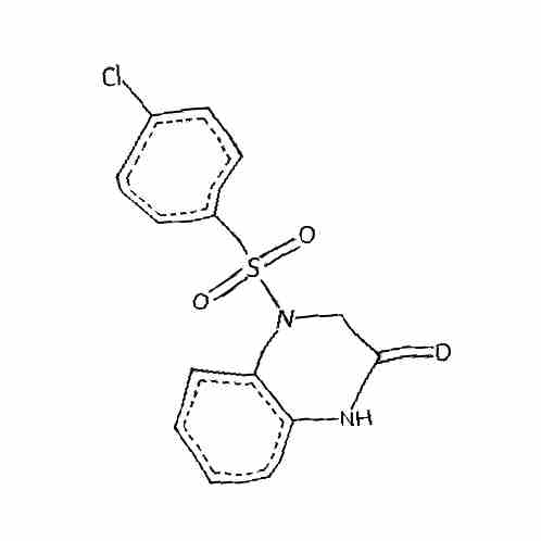 O=C1CN(S(=O)(=O)c2ccc(Cl)cc2)c2ccccc2N1